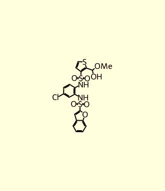 COC(O)c1sccc1S(=O)(=O)Nc1ccc(Cl)cc1NS(=O)(=O)c1cc2ccccc2o1